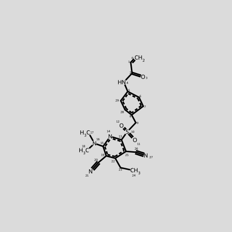 C=CC(=O)Nc1ccc(CS(=O)(=O)c2nc(N(C)C)c(C#N)c(CC)c2C#N)cc1